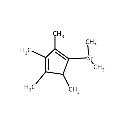 CC1=C(C)C(C)C([Si](C)C)=C1C